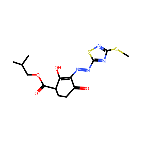 CSc1nsc(N=NC2=C(O)C(C(=O)OCC(C)C)CCC2=O)n1